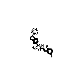 COC(=O)N1CCc2cc(C(C)NC(=O)C=Cc3cc(F)ccc3F)ccc21